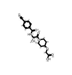 C[C@H](NC(=O)c1ccc(C#N)cc1)C(=O)N1CCC(OCC(=O)O)CC1